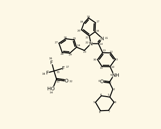 O=C(CC1CCCCC1)Nc1ccc(-c2nc3ccccc3n2Cc2ccccc2)cc1.O=C(O)C(F)(F)F